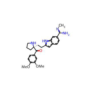 CN=C(N)c1ccc2cc(CC[C@]3(C(=O)c4ccc(OC)c(OC)c4)CCCN3)[nH]c2c1